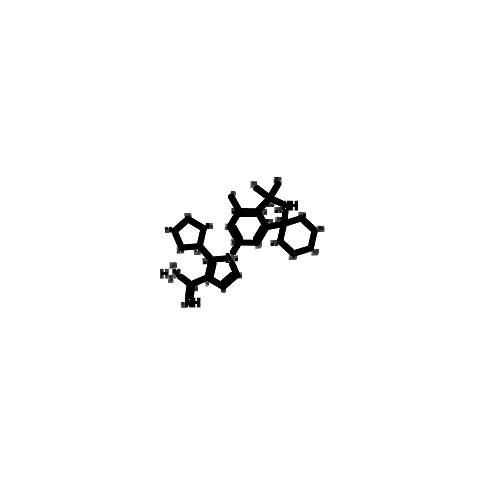 Cc1cc(-n2ccc(C(=N)N)c2C2CCCC2)cc2c1C(C)(C)NC21CCCCC1